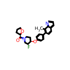 Cc1c(-c2ccc(O[C@@H]3CCN(C(=O)[C@H]4CCCO4)C[C@H]3F)cc2)ccc2cccnc12